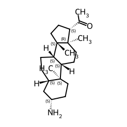 CC(=O)[C@H]1CC[C@@]2(C)[C@H]3CC[C@H]4C[C@@H](N)CC[C@]4(C)[C@H]3CC[C@]12C